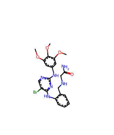 COc1cc(Nc2ncc(Br)c(Nc3ccccc3CNCC(N)=O)n2)cc(OC)c1OC